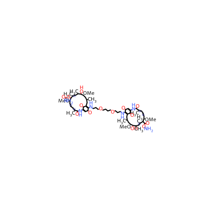 COC1/C=C\C=C(/C)C(=O)NC2=CC(=O)C(NCCCOCCCCOCCCNC3=C4CC(C)CC(OC)C(O)C(C)/C=C(\C)C(C(=O)ON)C(OC)/C=C\C=C(/C)C(=O)NC(=CC3=O)C4=O)=C(CC(C)CC(OC)C(O)C(C)/C=C(\C)C1OC(N)=O)C2=O